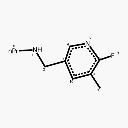 CCCNCc1cnc(F)c(C)c1